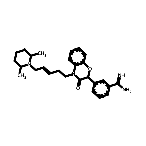 CC1CCCC(C)N1CC=CCCN1C(=O)C(c2cccc(C(=N)N)c2)Oc2ccccc21